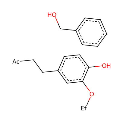 CCOc1cc(CCC(C)=O)ccc1O.OCc1ccccc1